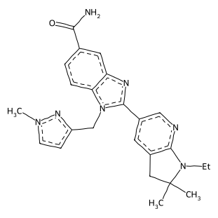 CCN1c2ncc(-c3nc4cc(C(N)=O)ccc4n3Cc3ccn(C)n3)cc2CC1(C)C